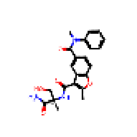 Cc1oc2ccc(C(=O)N(C)c3ccccc3)cc2c1C(=O)N[C@@](C)(CO)C(N)=O